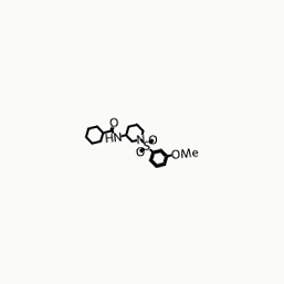 COc1cccc(S(=O)(=O)N2CCCC(NC(=O)C3CCCCC3)C2)c1